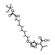 CC(C)C(C(=O)O)c1cc(OCCCCCCCCNC(=O)OC(C)(C)C)no1